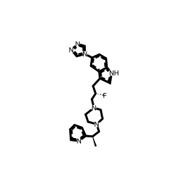 C[C@H](CN1CCN(C[C@@H](F)Cc2c[nH]c3ccc(-n4cnnc4)cc23)CC1)c1ccccn1